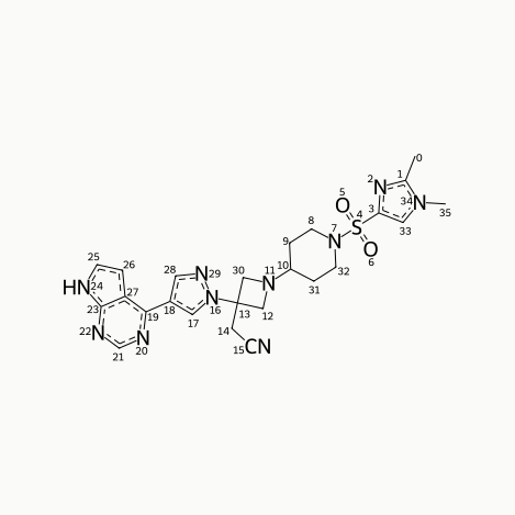 Cc1nc(S(=O)(=O)N2CCC(N3CC(CC#N)(n4cc(-c5ncnc6[nH]ccc56)cn4)C3)CC2)cn1C